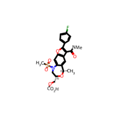 CNC(=O)c1c(-c2ccc(F)cc2)oc2cc3c(cc12)[C@H](C)O[C@H](COC(=O)O)CN3S(C)(=O)=O